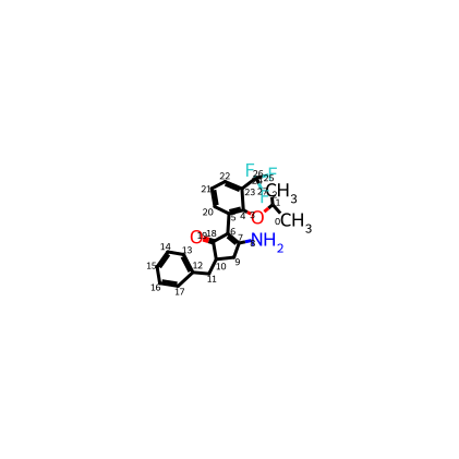 CC(C)Oc1c(C2=C(N)CC(Cc3ccccc3)C2=O)cccc1C(F)(F)F